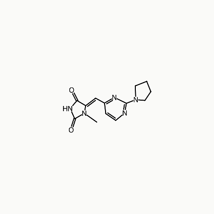 CN1C(=O)NC(=O)/C1=C/c1ccnc(N2CCCC2)n1